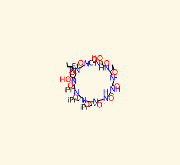 C=C(C)[C@@H]1NC(=O)[C@H]([C@@H](C)O)N(C)C(=O)CN(C)C(=O)[C@H](CC)NC(=O)[C@H]([C@H](O)[C@H](C)C/C=C/C)N(C)C(=O)[C@H](C(C)C)N(C)C(=O)[C@@H](CC(C)C)N(C)C(=O)[C@H](CC(C)C)N(C)C(=O)[C@@H](C)NC(=O)[C@H](C)NC(=O)CN(C)C1=O